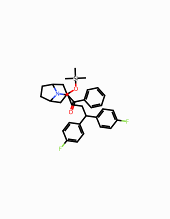 C[Si](C)(C)OC1(C(=O)c2ccccc2)CC2CCC(C1)N2CCCC(c1ccc(F)cc1)c1ccc(F)cc1